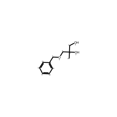 CC(O)(CO)COCc1ccccc1